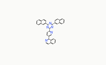 c1ccc2cc(-c3nc(-c4ccc5ccccc5c4)nc(-c4ccc(-c5nccc6ccccc56)cn4)n3)ccc2c1